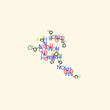 CN(C)C1(Cc2cccc(Cl)c2)CCC(NC(=O)CCC(=O)N2CCC3(CC2)C(=O)NCN3c2ccccc2)CC1.CN(C)C1(Cc2cccc(Cl)c2)CCC(NC(=O)CCC(=O)NCc2cc(F)cc(F)c2)CC1.Cc1cccc(CC2(N(C)C)CCC(NC(=O)CCC(=O)N(C)Cc3ccccc3)CC2)c1.Cc1cccc(CC2(N(C)C)CCC(NC(=O)CCC(=O)NCCc3ccc(F)cc3)CC2)c1